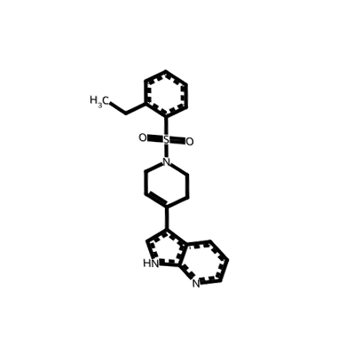 CCc1ccccc1S(=O)(=O)N1CC=C(c2c[nH]c3ncccc23)CC1